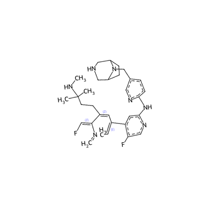 C=NC(=C\F)/C(=C\C(=C/C)c1cc(Nc2ccc(CN3C4CCC3CNC4)cn2)ncc1F)CCC(C)(C)NC